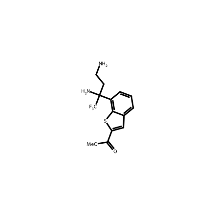 COC(=O)c1cc2cccc(C(N)(CCN)C(F)(F)F)c2s1